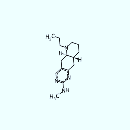 CCCN1CCC[C@@H]2Cc3nc(NC)ncc3C[C@H]21